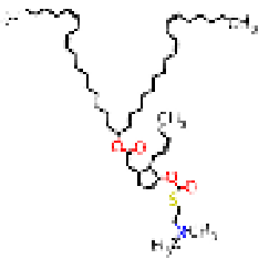 CC/C=C\CC1C(CC(=O)OC(CCCCCCCC/C=C\C/C=C\CCCCC)CCCCCCCC/C=C\C/C=C\CCCCC)CCC1OC(=O)SCCN(C)C